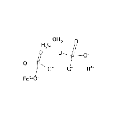 O.O.O=P([O-])([O-])[O-].O=P([O-])([O-])[O-].[Fe+2].[Ti+4]